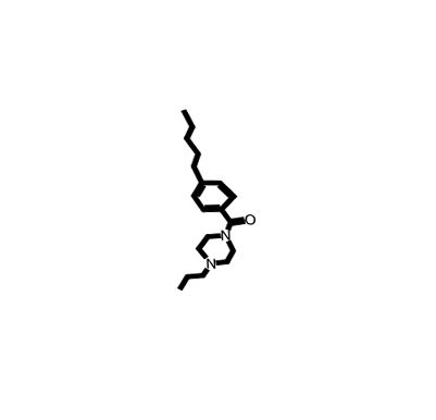 CCCCCc1ccc(C(=O)N2CCN(CCC)CC2)cc1